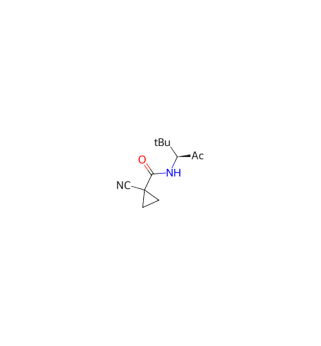 CC(=O)[C@@H](NC(=O)C1(C#N)CC1)C(C)(C)C